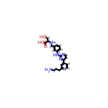 NCCCc1cc(-c2ccnc(Nc3cccc(CNC(CO)C(=O)O)c3)n2)ccn1